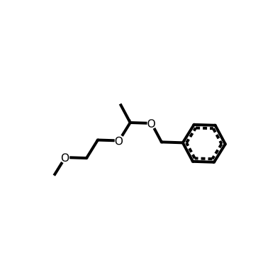 COCCO[C](C)OCc1ccccc1